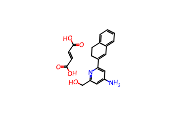 Nc1cc(CO)nc(C2=Cc3ccccc3CC2)c1.O=C(O)C=CC(=O)O